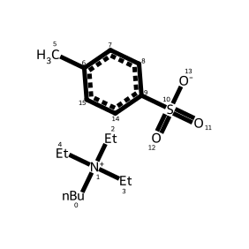 CCCC[N+](CC)(CC)CC.Cc1ccc(S(=O)(=O)[O-])cc1